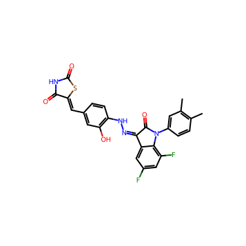 Cc1ccc(N2C(=O)/C(=N\Nc3ccc(/C=C4\SC(=O)NC4=O)cc3O)c3cc(F)cc(F)c32)cc1C